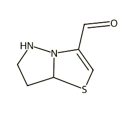 O=CC1=CSC2CCNN12